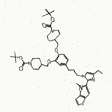 CCc1cn(CCCc2ccc(OCC3CCN(C(=O)OC(C)(C)C)CC3)c(OCC3CCN(C(=O)OC(C)(C)C)CC3)c2)c(-c2cc3sccc3n2C)n1